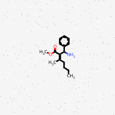 CCCCC(C)=C(C(=O)OC)C(N)c1ccccc1